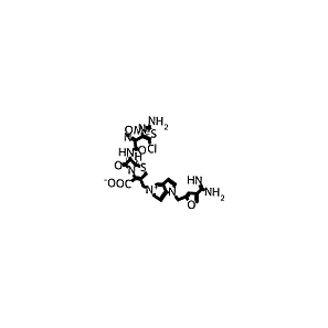 CON=C(C(=O)N[C@@H]1C(=O)N2C(C(=O)[O-])=C(C[n+]3ccc4c(ccn4Cc4cc(C(=N)N)co4)c3)CS[C@H]12)c1nc(N)sc1Cl